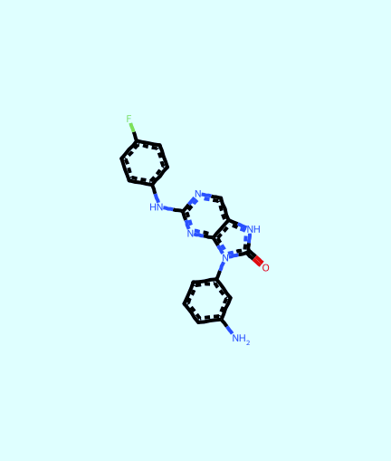 Nc1cccc(-n2c(=O)[nH]c3cnc(Nc4ccc(F)cc4)nc32)c1